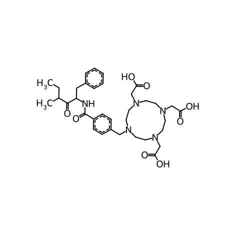 CCC(C)C(=O)C(Cc1ccccc1)NC(=O)c1ccc(CN2CCN(CC(=O)O)CCN(CC(=O)O)CCN(CC(=O)O)CC2)cc1